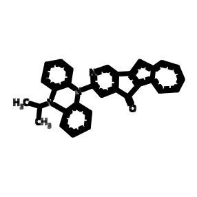 CC(C)N1c2ccccc2N(c2cc3c(cn2)-c2cc4cccccc-4c2C3=O)c2ccccc21